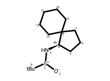 CC(C)(C)[S+]([O-])N[C@@H]1CCCC12CCCCC2